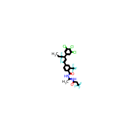 CCC(F)(F)C(/C=C(\F)c1ccc(C(=O)NC(C)NC(=O)CC(F)(F)F)c(C(F)(F)F)c1)c1cc(Cl)c(Cl)c(Cl)c1